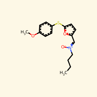 CCCC[N+]([O-])=Cc1ccc(Sc2ccc(OC)cc2)o1